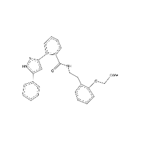 COCOc1ccccc1CCNC(=O)c1ccccc1-c1cc(-c2ccccc2)[nH]n1